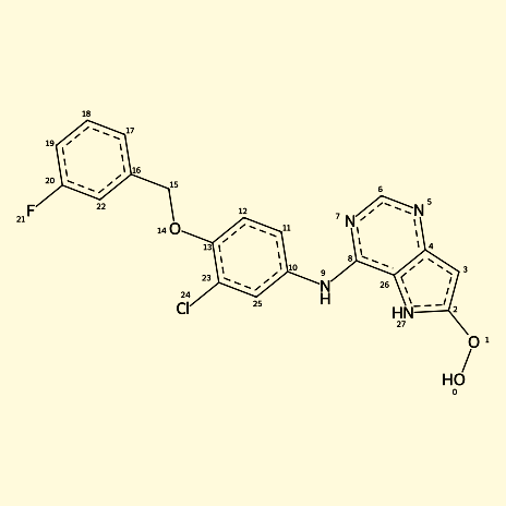 OOc1cc2ncnc(Nc3ccc(OCc4cccc(F)c4)c(Cl)c3)c2[nH]1